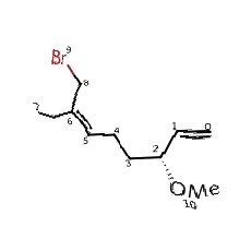 C=C[C@@H](CC/C=C(/C)CBr)OC